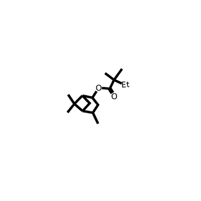 CCC(C)(C)C(=O)OC1CC(C)C2CC1C2(C)C